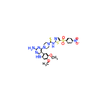 COc1cc2[nH]c3nc(N)nc(N4CCN(C(=S)Nc5ncc(S(=O)(=O)c6ccc([N+](=O)[O-])cc6)s5)CC4)c3c2cc1OC